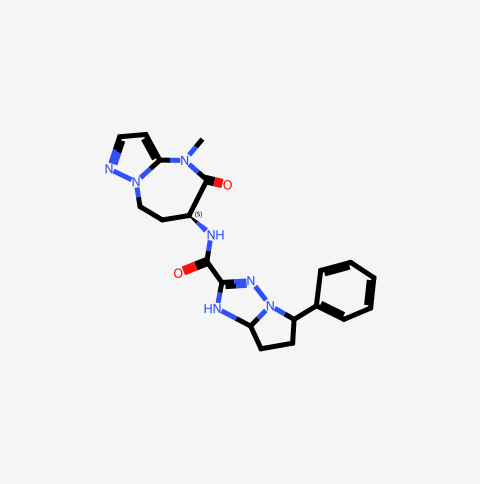 CN1C(=O)[C@@H](NC(=O)C2=NN3C(CCC3c3ccccc3)N2)CCn2nccc21